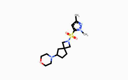 Cc1cc(S(=O)(=O)N2CC3(CCC(N4CCOCC4)C3)C2)n(C)n1